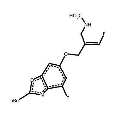 CCCCc1nc2c(F)cc(OCC(=CF)CNC(=O)O)cc2o1